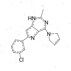 Cc1nc(N2CC=CC2)c2nc(-c3cccc(Cl)c3)cc-2[nH]1